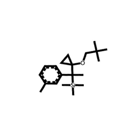 Cc1cccc(C(C)(C2(OCC(C)(C)C)CC2)[Si](C)(C)C)c1